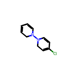 ClC1=CCN(N2C=C[C]=CC2)C=C1